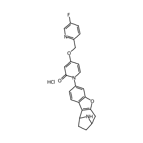 Cl.O=c1cc(OCc2ccc(F)cn2)ccn1-c1ccc2c3c(oc2c1)CC1CCC3N1